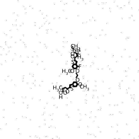 COc1cc2sc(C(=O)C[C@H](C)C(=O)O)cc2cc1OCCCOc1c(OC)cc2sc(C(=O)C[C@H](C)C(=O)NSC)cc2c1F